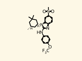 C[C@H]1C[C@@H](n2c(Nc3ccc(OC(F)(F)F)cc3)nc3ccc(S(C)(=O)=O)cc32)CC(C)(C)C1